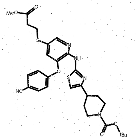 COC(=O)CCSc1cnc(Nc2nc(C3CCN(C(=O)OC(C)(C)C)CC3)cs2)c(Oc2ccc(C#N)cc2)c1